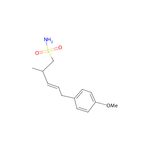 COc1ccc(CC=CC(C)CS(N)(=O)=O)cc1